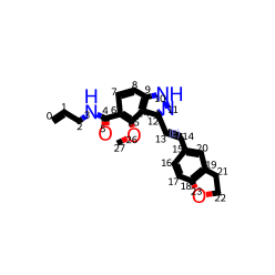 C=CCNC(=O)c1ccc2[nH]nc(/C=C/c3ccc4c(c3)CCO4)c2c1OC